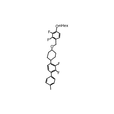 CCCCCCOc1ccc(COC2CCC(c3ccc(-c4ccc(C)cc4)c(F)c3F)CC2)c(F)c1F